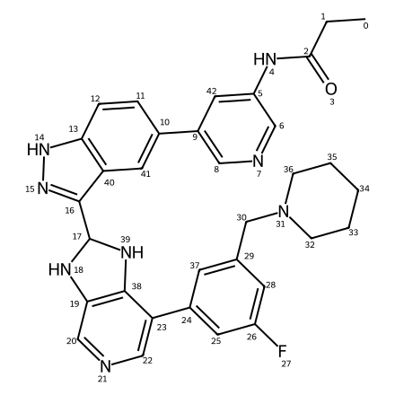 CCC(=O)Nc1cncc(-c2ccc3[nH]nc(C4Nc5cncc(-c6cc(F)cc(CN7CCCCC7)c6)c5N4)c3c2)c1